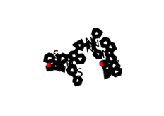 c1ccc(-c2nc(-c3cccc(-c4cc5c6cc7c(cc6n(-c6ccc8c(c6)sc6ccccc68)c5c5ccccc45)C4(c5ccccc5S7)c5ccccc5-c5ccccc54)c3)nc(-c3cccc(-n4c5cc6c(cc5c5ccc7ccccc7c54)Sc4ccccc4C64c5ccccc5-c5ccccc54)c3)n2)cc1